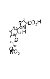 O=C(O)C1CSC(c2cccc(OCCO[N+](=O)[O-])c2)N1